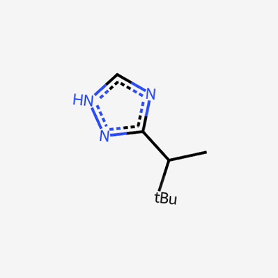 CC(c1nc[nH]n1)C(C)(C)C